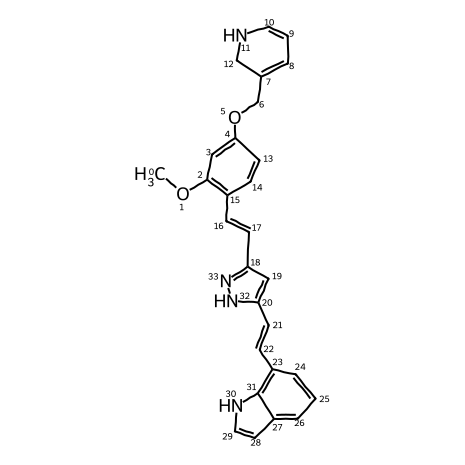 COc1cc(OCC2=CC=CNC2)ccc1/C=C/c1cc(/C=C/c2cccc3cc[nH]c23)[nH]n1